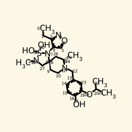 CCc1nocc1N1[C@@]2(CCN(Cc3ccc(O)c(OC(C)C)c3)[C@@H](C)C2)CN(C)S1(O)O